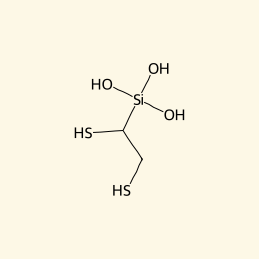 O[Si](O)(O)C(S)CS